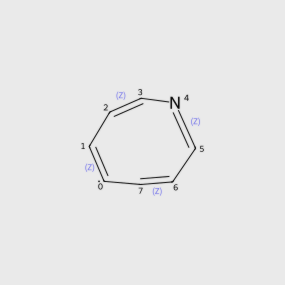 [C]1=C\C=C/N=C\C=C/1